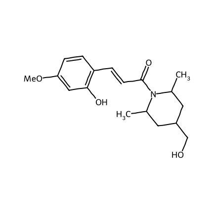 COc1ccc(/C=C/C(=O)N2C(C)CC(CO)CC2C)c(O)c1